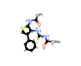 CCCC(=O)Nc1scc(-c2ccccc2)c1NC(=S)NC(=O)OC